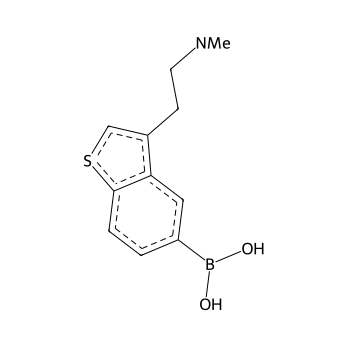 CNCCc1csc2ccc(B(O)O)cc12